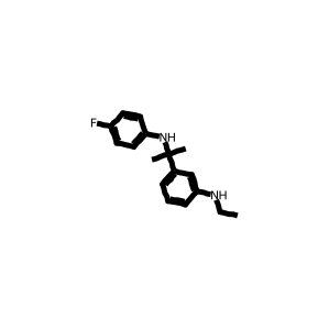 CCNc1cccc(C(C)(C)Nc2ccc(F)cc2)c1